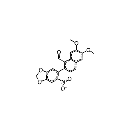 COc1cc2ccc(-c3cc4c(cc3[N+](=O)[O-])OCO4)c(C=O)c2cc1OC